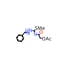 CSC(=NC(=O)COC(C)=O)NN=Cc1ccccc1